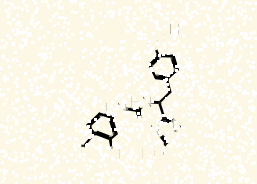 COc1ccc(CC(NC(=O)Nc2ccc(Cl)c(Cl)c2)c2noc(O)n2)cc1